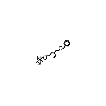 C=CC(CCCOCC(C)(C)[SiH](C)C)CCOCc1ccccc1